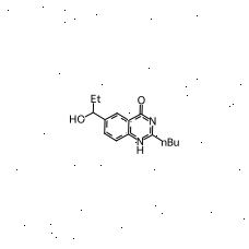 CCCCc1nc(=O)c2cc(C(O)CC)ccc2[nH]1